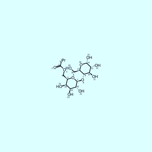 CC(C)C(=O)OC[C@H]1O[C@@H](O[C@H]2[C@H](O)[C@@H](O)[C@@H](O)O[C@@H]2CO)[C@H](O)[C@@H](O)[C@H]1O